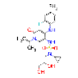 Bc1ccc(Nc2cc(=O)n(C(=C)C)cc2NS(=O)(=O)N(CC(O)CO)C2CC2)c(F)c1